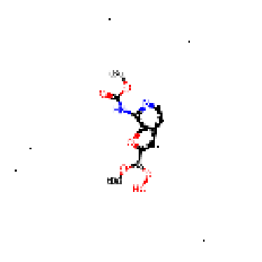 CC(C)(C)OB(OO)c1cc2ccnc(NC(=O)OC(C)(C)C)c2o1